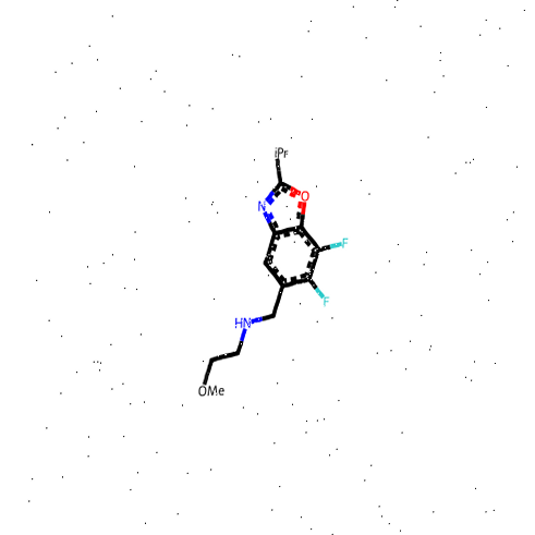 COCCNCc1cc2nc(C(C)C)oc2c(F)c1F